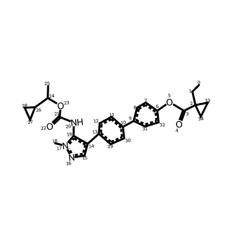 CCC1(C(=O)Oc2ccc(-c3ccc(-c4cnn(C)c4NC(=O)OC(C)C4CC4)cc3)cc2)CC1